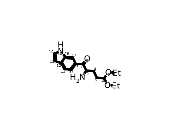 CCOC(CCC(N)C(=O)c1ccc2[c]c[nH]c2c1)OCC